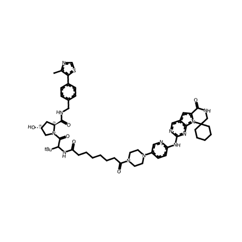 Cc1ncsc1-c1ccc(CNC(=O)[C@@H]2C[C@@H](O)CN2C(=O)C(NC(=O)CCCCCCC(=O)N2CCN(c3ccc(Nc4ncc5cc6n(c5n4)C4(CCCCC4)CNC6=O)nc3)CC2)C(C)(C)C)cc1